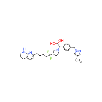 Cc1cnn(Cc2ccc(C(C(O)O)N3CC[C@@H](C(F)(F)CCCCc4ccc5c(n4)NCCC5)C3)cc2)c1